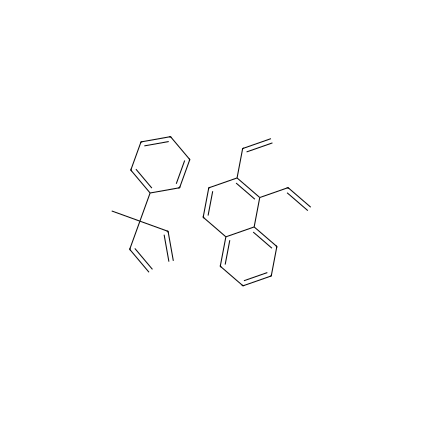 C=CC(C)(C=C)c1ccccc1.C=Cc1ccc2ccccc2c1C=C